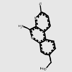 Nc1nc2cc(CO)ccc2c2ccc(Cl)nc12